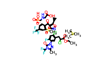 CCOC(=O)C(Cl)Cc1cc(-n2nc(C)n(C(F)F)c2=O)c(F)cc1Cl.CS(=O)(=O)c1cc(C(F)(F)F)ccc1C(=O)c1cnoc1C1CC1.C[S+](C)C.O=C(O)CNCP(=O)([O-])O